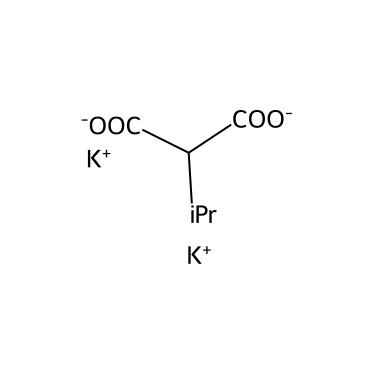 CC(C)C(C(=O)[O-])C(=O)[O-].[K+].[K+]